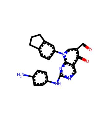 Nc1ccc(Nc2ncc3c(=O)c(C=O)cn(-c4ccc5c(c4)CCC5)c3n2)cc1